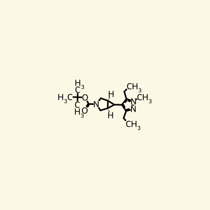 CCc1nn(C)c(CC)c1C1[C@H]2CN(C(=O)OC(C)(C)C)C[C@@H]12